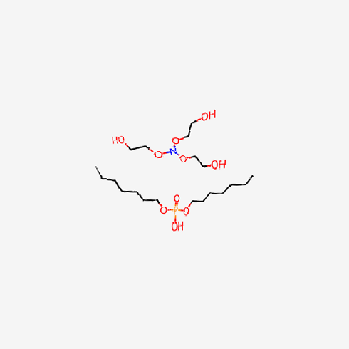 CCCCCCCOP(=O)(O)OCCCCCCC.OCCON(OCCO)OCCO